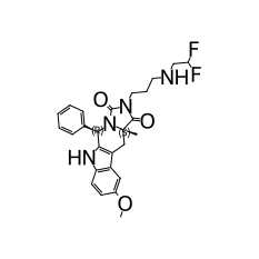 COc1ccc2[nH]c3c(c2c1)C[C@@]1(C)C(=O)N(CCCNCC(F)F)C(=O)N1[C@@H]3c1ccccc1